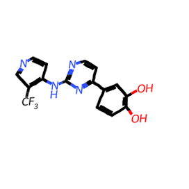 Oc1ccc(-c2ccnc(Nc3ccncc3C(F)(F)F)n2)cc1O